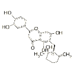 C=C1CCCC(C)(C)[C@H]1Cc1c(O)cc2oc(-c3ccc(O)c(O)c3)cc(=O)c2c1O